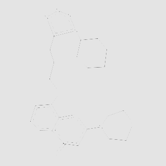 O=c1cc(N2CCOCC2)oc2c(OCCCc3nnnn3C3CCCCC3)cccc12